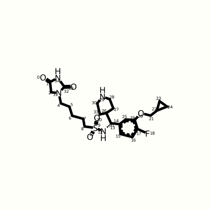 O=C1CN(CCCCCS(=O)(=O)N[C@@H](c2ccc(F)c(OCC3CC3)c2)C2CCNCC2)C(=O)N1